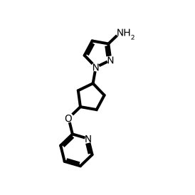 Nc1ccn(C2CCC(Oc3ccccn3)C2)n1